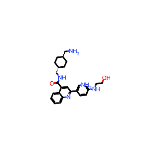 C=C(/C=C\C(=C/N)c1cc(C(=O)NC[C@H]2CC[C@H](CN)CC2)c2ccccc2n1)NCCO